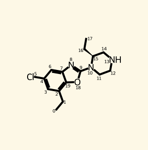 CCc1cc(Cl)cc2nc(N3CCNC[C@@H]3CC)oc12